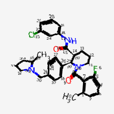 Cc1cccc(F)c1C(=O)N1CCC[C@H](C(=O)Nc2cccc(Cl)c2)[C@@H]1c1ccc(CN2CCCC2C)cc1